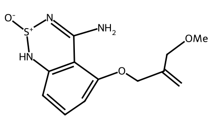 C=C(COC)COc1cccc2c1C(N)=N[S+]([O-])N2